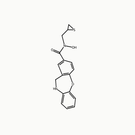 O=C(c1ccc2c(c1)CNc1ccccc1O2)N(O)CC1CS1